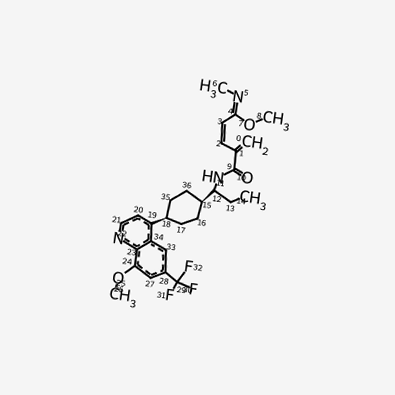 C=C(/C=C\C(=N/C)OC)C(=O)NC(CC)[C@H]1CC[C@@H](c2ccnc3c(OC)cc(C(F)(F)F)cc32)CC1